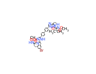 COC(=O)N[C@H]1CCc2cc(Br)cc3c2N(C1=O)[C@H](c1ncc(-c2ccc(-c4ccc(-c5cnc([C@H]6CCCN6C(=O)[C@H](NC(=O)OC)C(C)C)[nH]5)cc4)cc2)[nH]1)C3